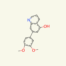 COc1ccc(-c2cc(O)c3cccnc3c2)cc1OC